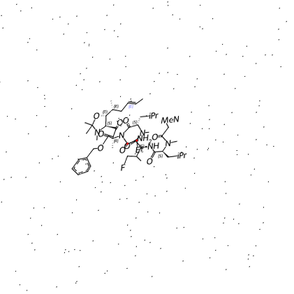 C/C=C/C[C@@H](C)[C@H]1OC(C)(C)N(C)[C@@H]1C(=O)[C@](C)(C(=O)OCc1ccccc1)N(C(=O)C(N)CC)C(=O)[C@H](CC(C)C)N(C)C(=O)[C@@H](NC(=O)[C@H](CC(C)C)N(C)C(=O)CNC)C(C)CF